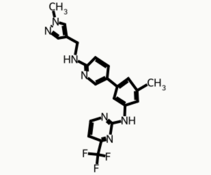 Cc1cc(Nc2nccc(C(F)(F)F)n2)cc(-c2ccc(NCc3cnn(C)c3)nc2)c1